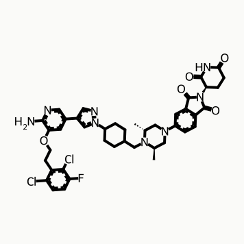 C[C@@H]1CN(c2ccc3c(c2)C(=O)N([C@@H]2CCC(=O)NC2=O)C3=O)C[C@@H](C)N1CC1CCC(n2cc(-c3cnc(N)c(OCCc4c(Cl)ccc(F)c4Cl)c3)cn2)CC1